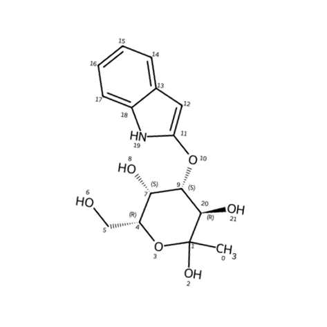 CC1(O)O[C@H](CO)[C@H](O)[C@H](Oc2cc3ccccc3[nH]2)[C@H]1O